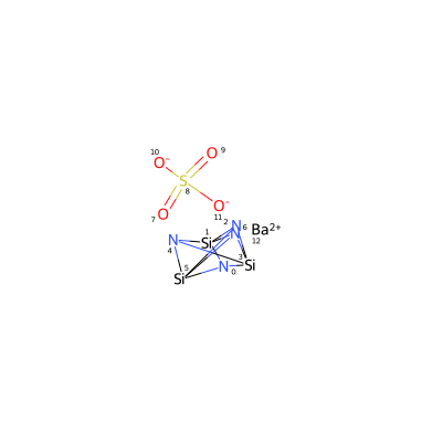 N12[Si]34N5[Si]16N3[Si]25N46.O=S(=O)([O-])[O-].[Ba+2]